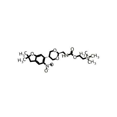 CC1(C)Cc2cc([N+](=O)[O-])c([C@H]3CO[C@H](CNC(=O)OCC[Si](C)(C)C)OC3)cc2O1